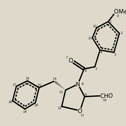 COc1ccc(CC(=O)N2C(C=O)OC[C@@H]2Cc2ccccc2)cc1